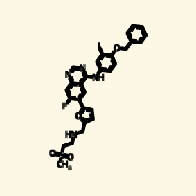 CS(=O)(=O)CCNCc1ccc(-c2cc3c(Nc4ccc(OCc5ccccc5)c(I)c4)ncnc3cc2F)o1